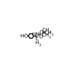 C[C@H](NC(=O)OC(C)(C)C)C1CCC(O)CC1